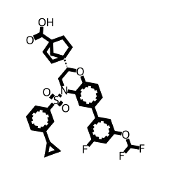 O=C(O)C12CCC([C@H]3CN(S(=O)(=O)c4cccc(C5CC5)c4)c4cc(-c5cc(F)cc(OC(F)F)c5)ccc4O3)(CC1)C2